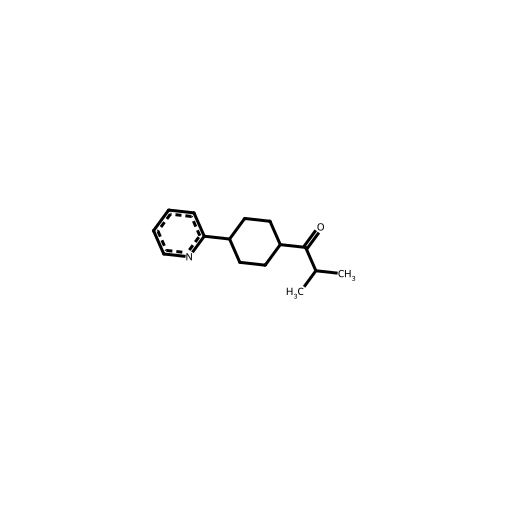 CC(C)C(=O)C1CCC(c2ccccn2)CC1